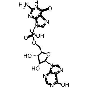 Nc1nc2c(ncn2OP(=O)(O)OC[C@H]2O[C@@H](n3cnc4c(O)ncnc43)[C@H](O)[C@@H]2O)c(=O)[nH]1